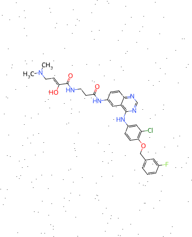 CN(C)CC=C(O)C(=O)NCCC(=O)Nc1ccc2ncnc(Nc3ccc(OCc4cccc(F)c4)c(Cl)c3)c2c1